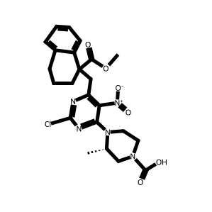 COC(=O)C1(Cc2nc(Cl)nc(N3CCN(C(=O)O)C[C@@H]3C)c2[N+](=O)[O-])CCCc2ccccc21